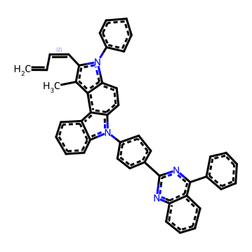 C=C/C=C\c1c(C)c2c3c4ccccc4n(-c4ccc(-c5nc(-c6ccccc6)c6ccccc6n5)cc4)c3ccc2n1-c1ccccc1